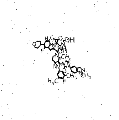 Cc1cc(-n2nc3c(c2-n2ccn(-c4ccc5c(cnn5C)c4)c2=O)[C@H](C)N(C(=O)c2cc4c(F)c(C5CCOCC5)ccc4n2[C@@]2(C(=N)NC(=O)O)C[C@@H]2C)CC3)cc(C)c1F